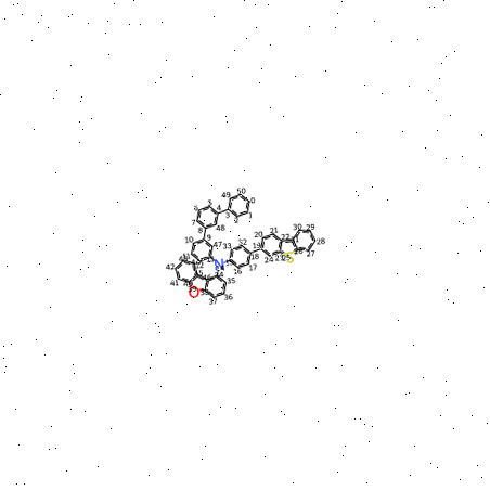 c1ccc(-c2cccc(-c3cccc(N(c4ccc(-c5ccc6c(c5)sc5ccccc56)cc4)c4cccc5oc6ccccc6c45)c3)c2)cc1